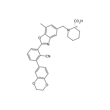 Cc1cc(CN2CCCC[C@H]2C(=O)O)cc2nc(-c3cccc(-c4ccc5c(c4)OCCO5)c3C#N)oc12